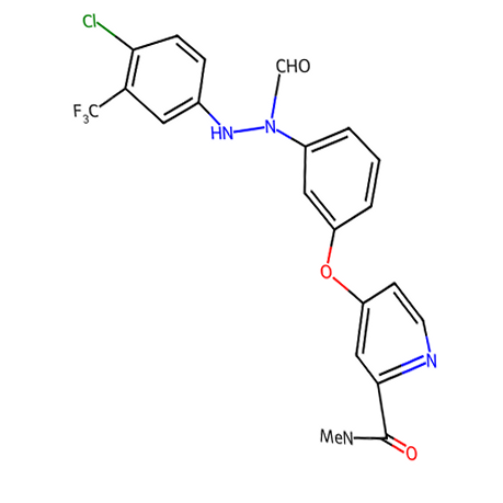 CNC(=O)c1cc(Oc2cccc(N(C=O)Nc3ccc(Cl)c(C(F)(F)F)c3)c2)ccn1